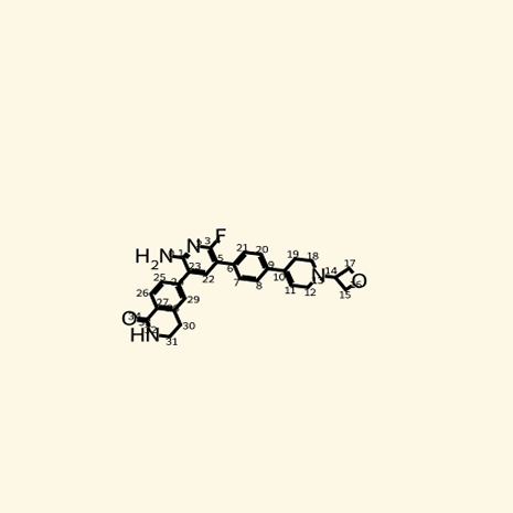 Nc1nc(F)c(-c2ccc(C3=CCN(C4COC4)CC3)cc2)cc1-c1ccc2c(c1)CCNC2=O